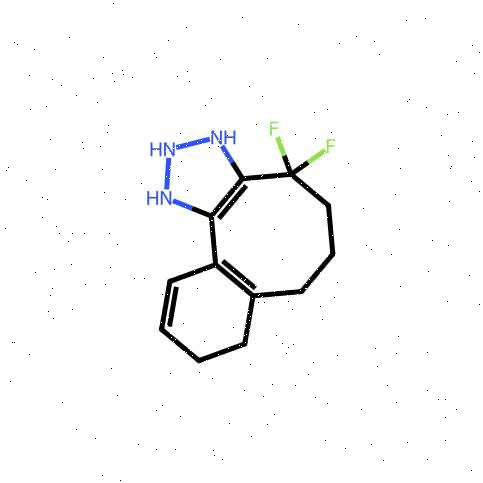 FC1(F)CCCC2=C(C=CCC2)C2=C1NNN2